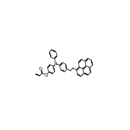 C=CC(=O)Oc1ccc(N(c2ccccc2)c2ccc(CCc3ccc4ccc5cccc6ccc3c4c56)cc2)cc1